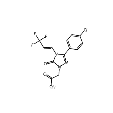 O=C(O)Cn1nc(-c2ccc(Cl)cc2)n(C=CC(F)(F)F)c1=O